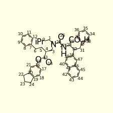 CC(C)CN(C[C@H](CCc1ccccc1)C(=O)Oc1ccc2c(c1)CCC2)C(=O)N[C@H](C(=O)O)C(Cc1ccccc1)c1ccc2ccccc2c1